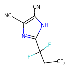 N#Cc1nc(C(F)(F)CC(F)(F)F)[nH]c1C#N